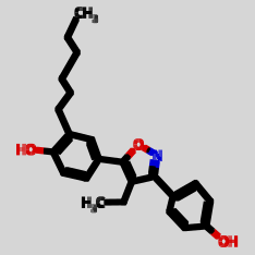 CCCCCCc1cc(-c2onc(-c3ccc(O)cc3)c2CC)ccc1O